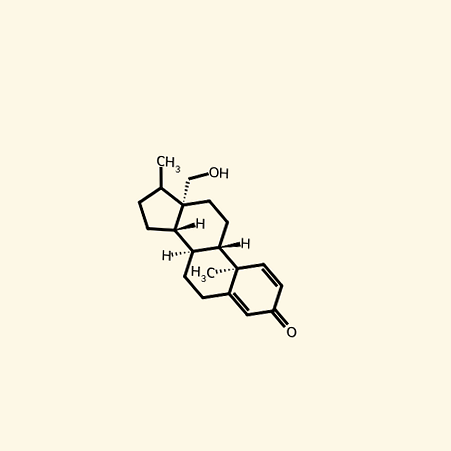 CC1CC[C@H]2[C@@H]3CCC4=CC(=O)C=C[C@]4(C)[C@H]3CC[C@]12CO